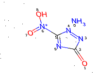 N.O=C1N=NC([N+](=O)O)=N1